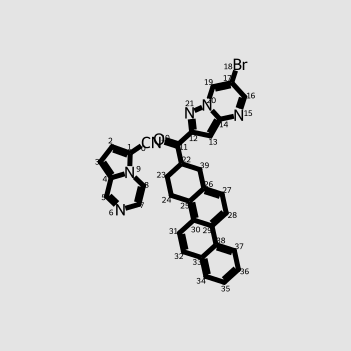 N#Cc1ccc2cnccn12.O=C(c1cc2ncc(Br)cn2n1)C1CCc2c(ccc3c2ccc2ccccc23)C1